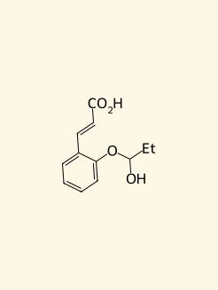 CCC(O)Oc1ccccc1/C=C/C(=O)O